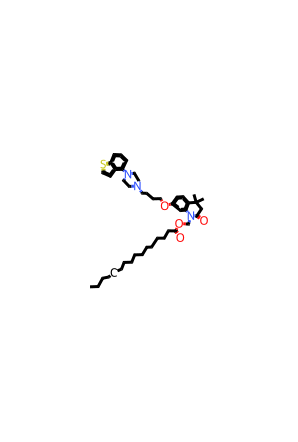 CCCCCCCCCCCCCCCC(=O)OCN1C(=O)CC(C)(C)c2ccc(OCCCCN3CCN(c4cccc5sccc45)CC3)cc21